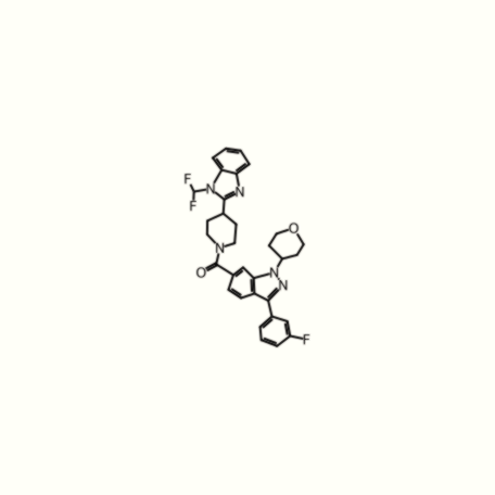 O=C(c1ccc2c(-c3cccc(F)c3)nn(C3CCOCC3)c2c1)N1CCC(c2nc3ccccc3n2C(F)F)CC1